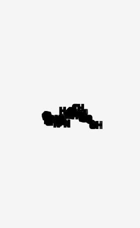 C[C@@H]1CC2C[C@@H](CNc3nc(NCc4ccccc4Cl)ncc3C#N)C[C@@H](C2)[C@H]1NC[C@H]1CC[C@H](OCCO)CC1